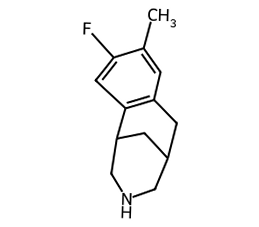 Cc1cc2c(cc1F)C1CNCC(C2)C1